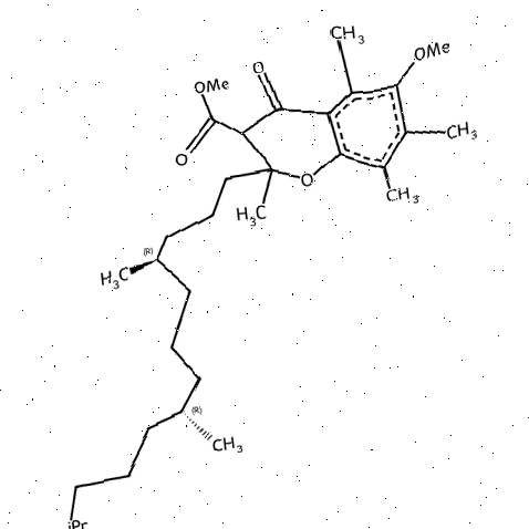 COC(=O)C1C(=O)c2c(C)c(OC)c(C)c(C)c2OC1(C)CCC[C@H](C)CCC[C@H](C)CCCC(C)C